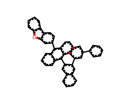 c1ccc(-c2cccc(-c3cc4ccccc4cc3-c3c4ccccc4c(-c4ccc5c(c4)oc4ccccc45)c4ccccc34)c2)cc1